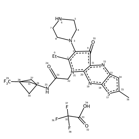 CCc1c(N2CCNCC2)c(=O)c2nc3cc(C)sc3nc2n1CC(=O)NC12CC(C(F)(F)F)(C1)C2.O=C(O)C(F)(F)F